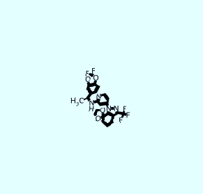 C[C@H](Nc1cc(-n2nc(C(F)(F)F)c3c2C2(CCC3)OCCO2)ccn1)c1ccc2c(c1)OC(F)(F)O2